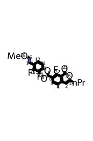 CCCc1cc2ccc(C(=O)Oc3ccc(/C=C/OC)c(F)c3F)c(F)c2c(=O)o1